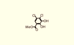 COC(=O)c1cc(Cl)c(Cl)c(O)c1O